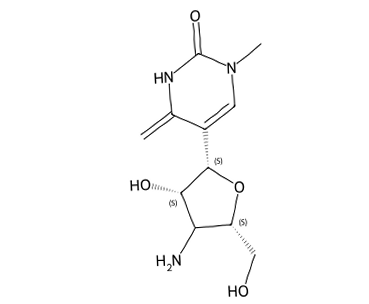 C=C1NC(=O)N(C)C=C1[C@@H]1O[C@H](CO)C(N)[C@@H]1O